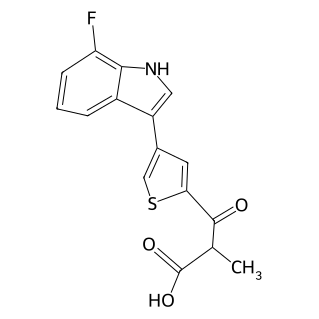 CC(C(=O)O)C(=O)c1cc(-c2c[nH]c3c(F)cccc23)cs1